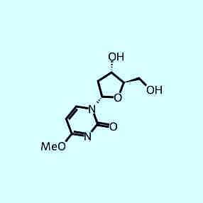 COc1ccn([C@@H]2C[C@H](O)[C@@H](CO)O2)c(=O)n1